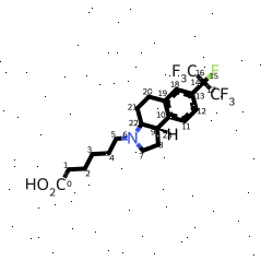 O=C(O)CCCCCN1CC[C@H]2c3ccc(C(F)(C(F)(F)F)C(F)(F)F)cc3CCC21